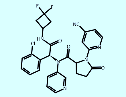 N#Cc1ccnc(N2C(=O)CCC2C(=O)N(c2cccnc2)[C@H](C(=O)NC2CC(F)(F)C2)c2ccccc2Cl)c1